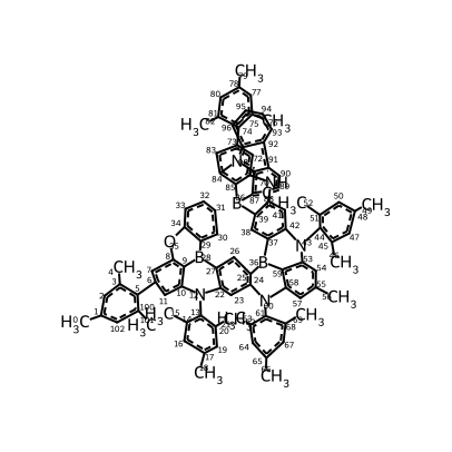 Cc1cc(C)c(-c2cc3c4c(c2)N(c2c(C)cc(C)cc2C)c2cc5c(cc2B4c2ccccc2O3)B2c3cc4c(cc3N(c3c(C)cc(C)cc3C)c3cc(C)cc(c32)N5c2c(C)cc(C)cc2C)Nc2cc(-c3c(C)cc(C)cc3C)cc3c2B4c2cccc4c5ccccc5n-3c24)c(C)c1